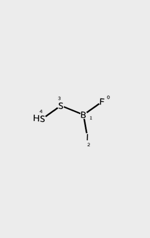 FB(I)SS